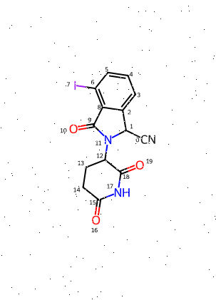 N#CC1c2cccc(I)c2C(=O)N1C1CCC(=O)NC1=O